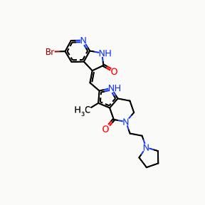 Cc1c(/C=C2\C(=O)Nc3ncc(Br)cc32)[nH]c2c1C(=O)N(CCN1CCCC1)CC2